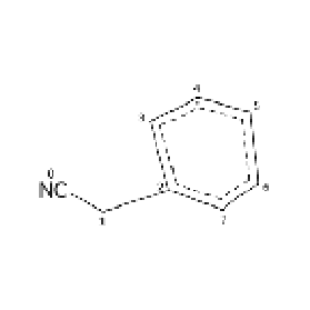 N#CCc1c[c]ccc1